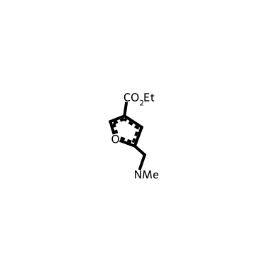 CCOC(=O)c1coc(CNC)c1